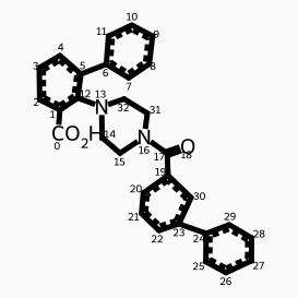 O=C(O)c1cccc(-c2ccccc2)c1N1CCN(C(=O)c2cccc(-c3ccccc3)c2)CC1